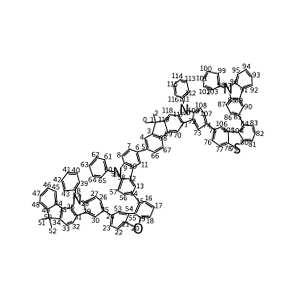 CC1(C)c2cc(-c3ccc4c(c3)c3cc(-c5cccc6oc7ccc(-c8ccc9c(c8)c8ccc%10c(c8n9-c8ccccc8)-c8ccccc8C%10(C)C)cc7c56)ccc3n4-c3ccccc3)ccc2-c2cc3c4cc(-c5ccc6sc7cccc(-c8ccc9c(c8)c8ccccc8n9-c8ccccc8)c7c6c5)ccc4n(-c4ccccc4)c3cc21